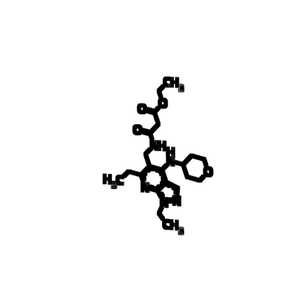 CCOC(=O)CC(=O)NCc1c(CC)nc2c(cnn2CC)c1NC1CCOCC1